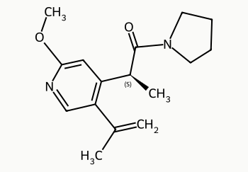 C=C(C)c1cnc(OC)cc1[C@H](C)C(=O)N1CCCC1